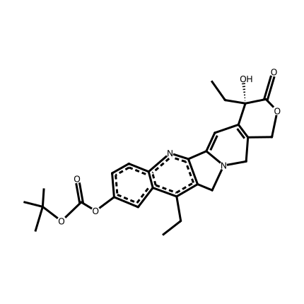 CCc1c2c(nc3ccc(OC(=O)OC(C)(C)C)cc13)C1=CC3=C(COC(=O)[C@]3(O)CC)CN1C2